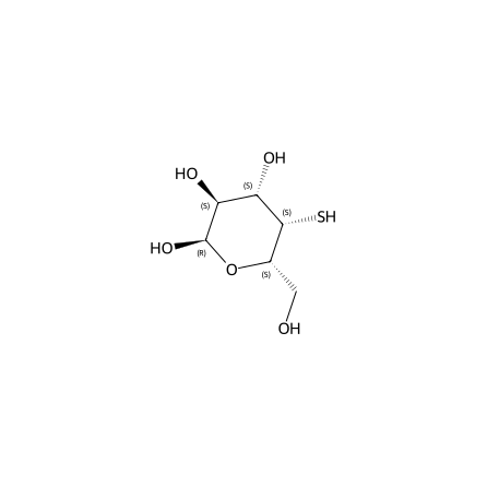 OC[C@@H]1O[C@@H](O)[C@@H](O)[C@H](O)[C@@H]1S